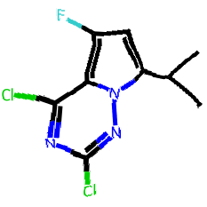 CC(C)c1cc(F)c2c(Cl)nc(Cl)nn12